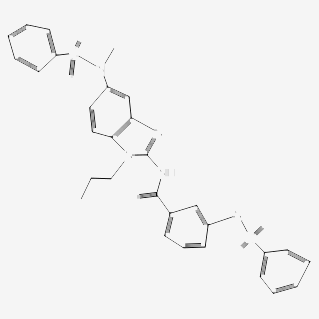 CCCn1c(NC(=O)c2cccc(NS(=O)(=O)c3ccccc3)c2)nc2cc(N(C)S(=O)(=O)c3ccccc3)ccc21